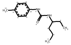 CCCC(CC)NC(=O)Nc1ccc(C)cc1